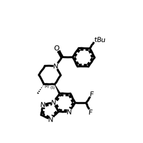 C[C@@H]1CCN(C(=O)c2cccc(C(C)(C)C)c2)C[C@H]1c1cc(C(F)F)nc2ncnn12